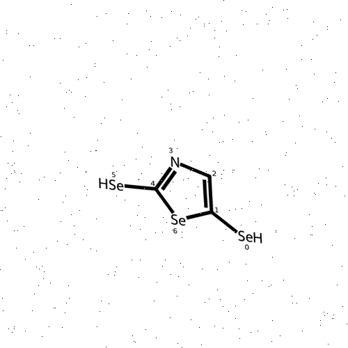 [SeH]c1cnc([SeH])[se]1